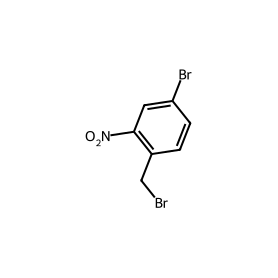 O=[N+]([O-])c1cc(Br)ccc1CBr